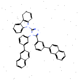 C1=Cc2c(c3ccccc3n2-c2nnc(-c3cccc(-c4ccc5ccccc5c4)c3)n2-c2cccc(-c3ccc4ccccc4c3)c2)CC1